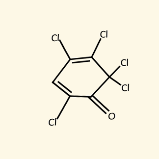 O=C1C(Cl)=CC(Cl)=C(Cl)C1(Cl)Cl